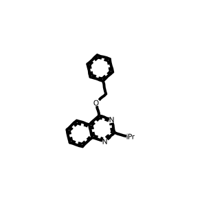 CC(C)c1nc(OCc2ccccc2)c2ccccc2n1